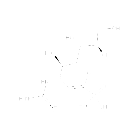 C[C@H]1[C@H]([C@H](O)[C@H](O)CO)OC(P(C)(=O)O)=C[C@@H]1NC(=N)N